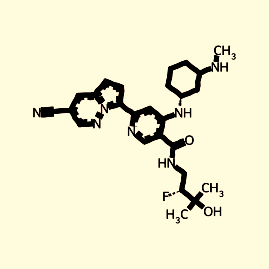 CNC1CCC[C@@H](Nc2cc(-c3ccc4cc(C#N)cnn34)ncc2C(=O)NC[C@@H](F)C(C)(C)O)C1